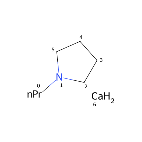 [CH2]CCN1CCCC1.[CaH2]